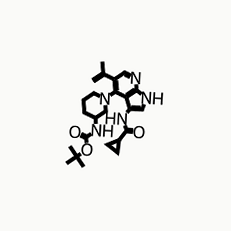 C=C(C)c1cnc2[nH]cc(NC(=O)C3CC3)c2c1N1CCCC(NC(=O)OC(C)(C)C)C1